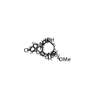 COCCOC[C@@H]1CC/C=C\[C@H](O)[C@@H]2CC[C@H]2CN2C[C@@]3(CCCc4cc(Cl)ccc43)COc3ccc(cc32)C(=O)NS1(=O)=O